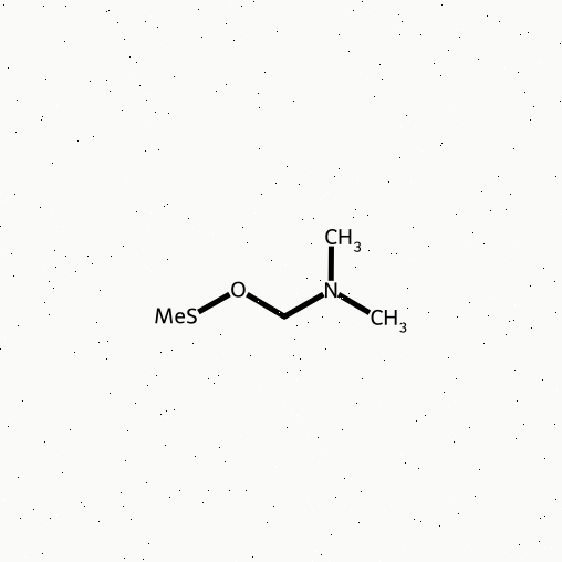 CSOCN(C)C